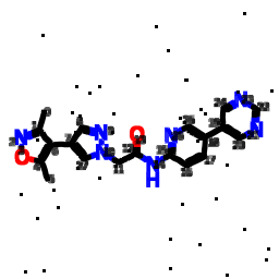 Cc1noc(C)c1-c1cnn(CC(=O)Nc2ccc(-c3cncnc3)cn2)c1